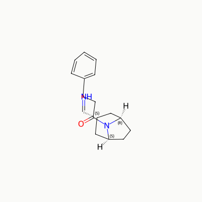 N=C[C@@H]1C[C@H]2CC[C@@H](C1)N2C(=O)CCc1ccccc1